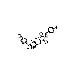 O=C1N/C(=C\c2cnc(Nc3ccc(Cl)cc3)nc2)C(=O)N1/N=C/c1ccc(F)cc1